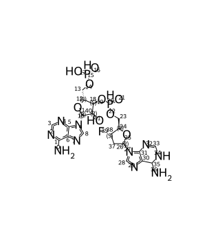 Nc1ncnc2c1ncn2[C@@H]1O[C@H](CO[PH](=O)O)[C@@H](O[PH](=O)OC[C@H]2O[C@@H](n3cnc4c3N=CNC4N)C[C@@H]2F)[C@H]1O